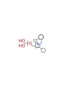 CC(C)(OCc1cc(C2CCCC2)n(Cc2ccccc2Cl)n1)C(O)O